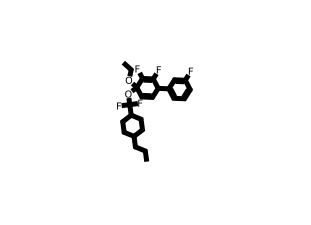 CCCC1CCC(C(F)(F)OC2(OCC)C=CC(c3cccc(F)c3)C(F)=C2F)CC1